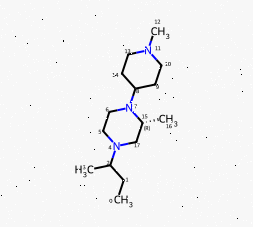 CCC(C)N1CCN(C2CCN(C)CC2)[C@H](C)C1